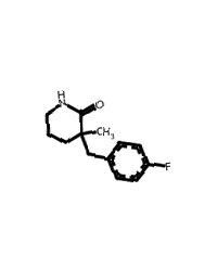 CC1(Cc2ccc(F)cc2)CCCNC1=O